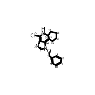 ClC1=c2ncn(OCc3ccccc3)c2=C2CCCCC2N1